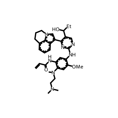 C=CC(=O)Nc1cc(Nc2ncc(C(O)CC)c(-c3cn4c5c(cccc35)CCC4)n2)c(OC)cc1N(C)CCN(C)C